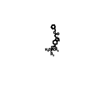 CC(C)(C)OC(=O)N1CCc2c(ncn2CC(=O)OCc2ccccc2)C1